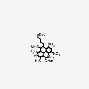 CCCCCCCCCCCCCCCc1c([N+](=O)[O-])cc([N+](=O)[O-])c(OCC)c1C1C(C(=O)OC)=C(C)NC(C)=C1C(=O)OC